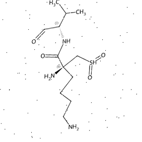 CC(C)[C@@H]([C]=O)NC(=O)[C@@](N)(CCCCN)C[SH](=O)=O